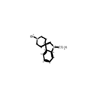 CC(C)(C)N1CCC2(CC1)CN(C(=O)O)c1ccccc12